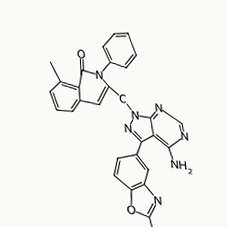 Cc1cccc2cc(Cn3nc(-c4ccc5oc(N)nc5c4)c4c(N)ncnc43)n(-c3ccccc3)c(=O)c12